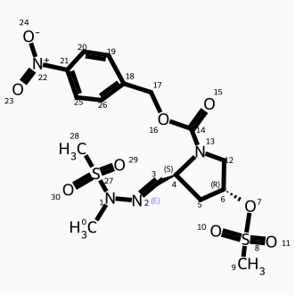 CN(/N=C/[C@@H]1C[C@@H](OS(C)(=O)=O)CN1C(=O)OCc1ccc([N+](=O)[O-])cc1)S(C)(=O)=O